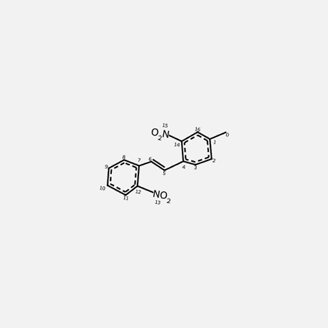 Cc1ccc(C=Cc2ccccc2[N+](=O)[O-])c([N+](=O)[O-])c1